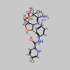 CC1(C)C(N)=N[C@@]2(c3cc(NC(=O)c4ccc(Cl)cn4)ccc3F)COC[C@@H]2S1(=O)=O